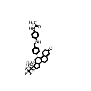 CC(=O)Nc1ccc(NCc2ccc([C@H]3C[C@@]4(C)C(CC[C@@]4(O)C(F)(F)C(F)(F)F)C4CCC5=CC(=O)CCC5=C43)cc2)cc1